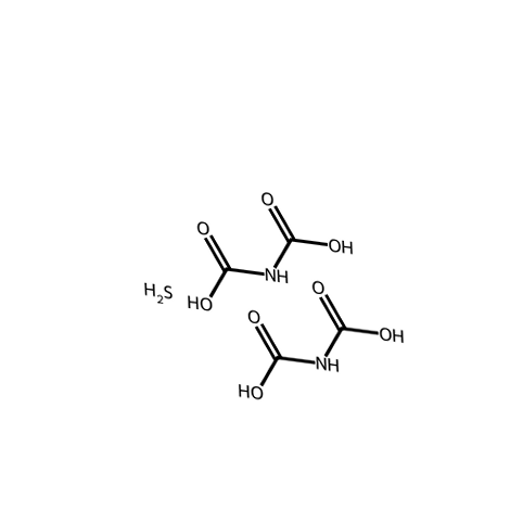 O=C(O)NC(=O)O.O=C(O)NC(=O)O.S